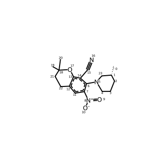 [CH2][C@@H]1CCCN(c2c([N+](=O)[O-])cc3c(c2C#N)OC(C)(C)CC3)C1